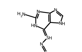 Nc1nc2nc[nH]c2c(=[SH]N=O)[nH]1